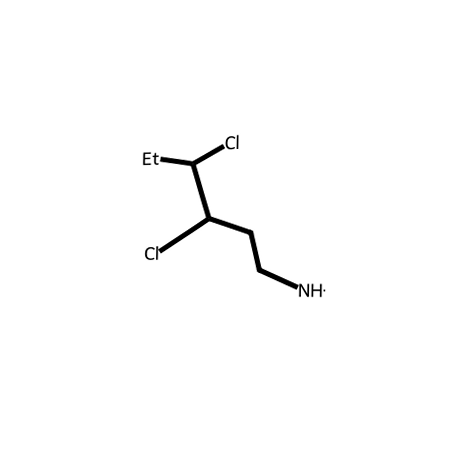 CCC(Cl)C(Cl)CC[NH]